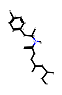 C=C(CCC(C)CC(C)CC)N(C)C(C)Cc1ccc(C)cc1